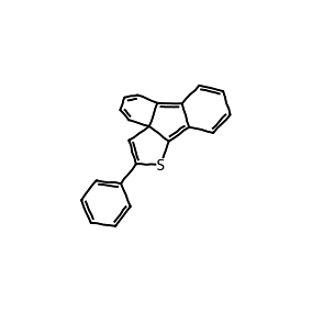 C1=CC2=c3ccccc3=C3SC(c4ccccc4)=CC23C=C1